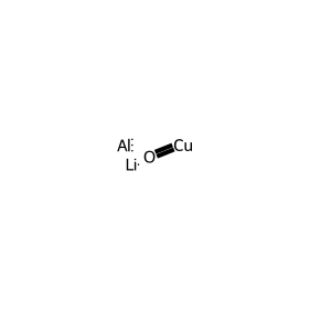 [Al].[Li].[O]=[Cu]